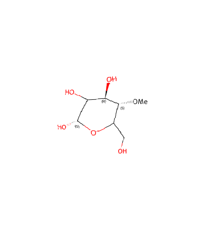 CO[C@@H]1C(CO)O[C@H](O)C(O)[C@H]1O